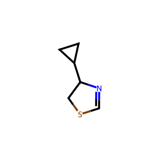 C1=N[C](C2CC2)CS1